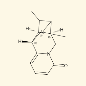 CC1C2[C@H]3Cn4c(cccc4=O)[C@@H](CN2C)[C@@H]13